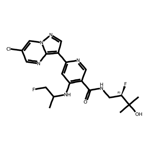 CC(CF)Nc1cc(-c2cnn3cc(Cl)cnc23)ncc1C(=O)NC[C@@H](F)C(C)(C)O